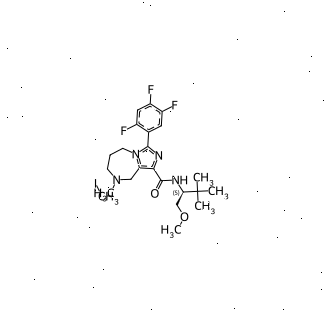 CI.COC[C@@H](NC(=O)c1nc(-c2cc(F)c(F)cc2F)n2c1CN(C)CCC2)C(C)(C)C